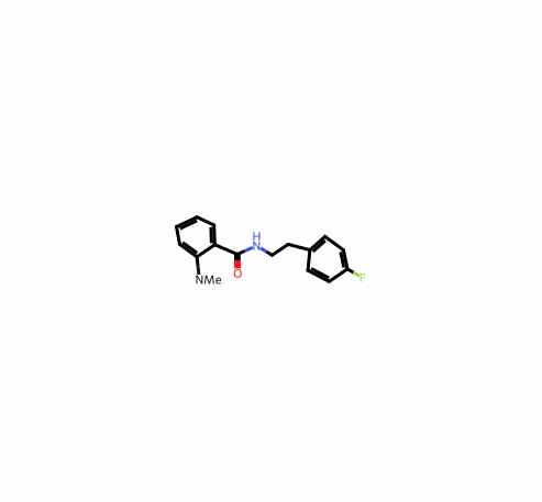 CNc1ccccc1C(=O)NCCc1ccc(F)cc1